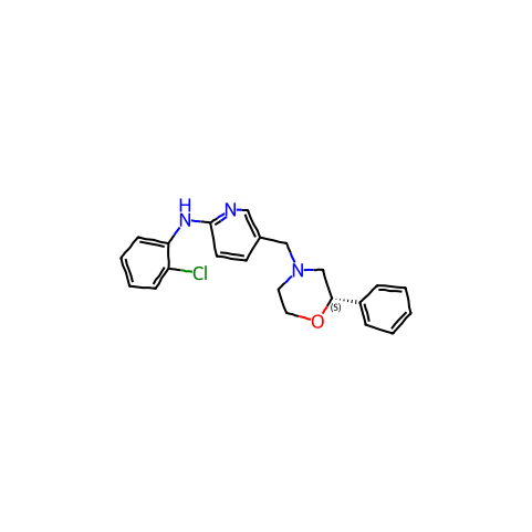 Clc1ccccc1Nc1ccc(CN2CCO[C@@H](c3ccccc3)C2)cn1